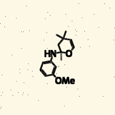 COc1cccc(NC2(C)CC(C)(C)C=CO2)c1